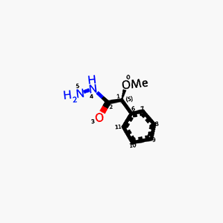 CO[C@H](C(=O)NN)c1ccccc1